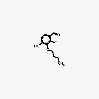 CCCCOc1c(O)ccc(C=O)c1F